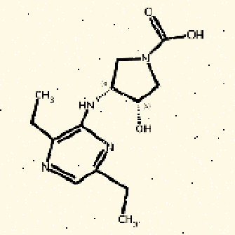 CCc1cnc(CC)c(N[C@@H]2CN(C(=O)O)C[C@@H]2O)n1